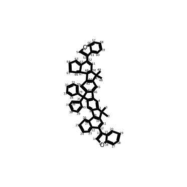 CC1(C)c2cc3c(cc2-c2c1cc(-c1coc4ccccc14)c1ccccc21)C(c1ccccc1)(c1ccccc1)c1cc2c(cc1-3)C(C)(C)c1cc(-c3coc4ccccc34)c3ccccc3c1-2